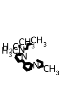 C=C(C)N(CCCC)c1nc(-c2cccc(N3CCC(C)C3)c2)ccc1C